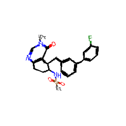 CCS(=O)(=O)NC1CCc2ncn(C(C)C)c(=O)c2C1Cc1cccc(-c2cccc(F)c2)c1